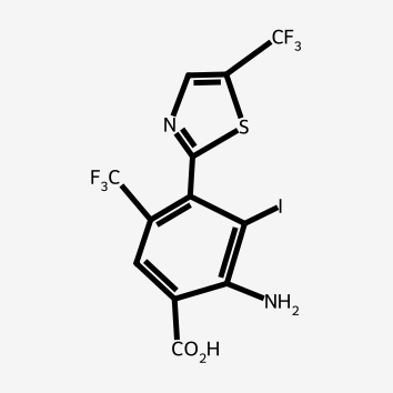 Nc1c(C(=O)O)cc(C(F)(F)F)c(-c2ncc(C(F)(F)F)s2)c1I